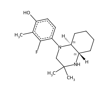 Cc1c(O)ccc(N2CC(C)(C)N[C@H]3CCCC[C@@H]32)c1F